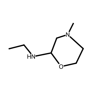 CCNC1CN(C)CCO1